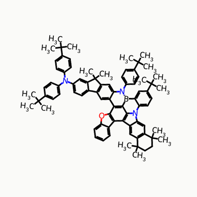 CC(C)(C)c1ccc(N2B3c4cc(C(C)(C)C)ccc4-n4c5cc6c(cc5c5c7c(oc8ccccc87)c(c3c54)-c3cc4c(cc32)C(C)(C)c2cc(N(c3ccc(C(C)(C)C)cc3)c3ccc(C(C)(C)C)cc3)ccc2-4)C(C)(C)CCC6(C)C)cc1